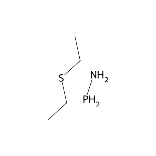 CCSCC.NP